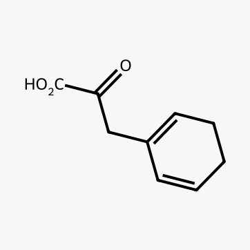 O=C(O)C(=O)CC1=CCCC=C1